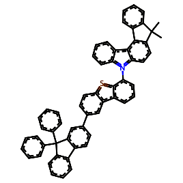 CC1(C)c2ccccc2-c2c1ccc1c2c2ccccc2n1-c1cccc2c1sc1ccc(-c3ccc4c(c3)C(c3ccccc3)(c3ccccc3)c3ccccc3-4)cc12